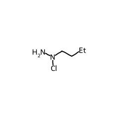 CCCCN(N)Cl